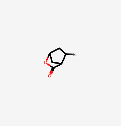 CCC1CC2CC1C(=O)O2